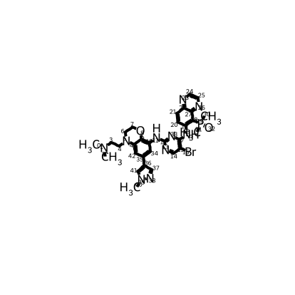 CN(C)CCN1CCOc2c(Nc3ncc(Br)c(Nc4ccc5nccnc5c4P(C)(C)=O)n3)cc(-c3cnn(C)c3)cc21